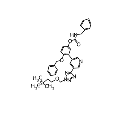 C[Si](C)(C)CCOCn1nnc(-c2cncc(-c3cc(OC(=O)NCc4ccccc4)ccc3OCc3ccccc3)c2)n1